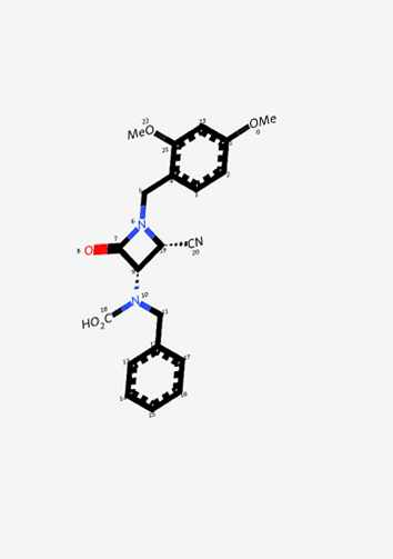 COc1ccc(CN2C(=O)[C@@H](N(Cc3ccccc3)C(=O)O)[C@H]2C#N)c(OC)c1